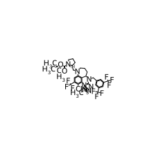 Cc1cc2c(cc1C(F)(F)F)N(C[C@@H]1CCCN1C(=O)OC(C)(C)C)CCCC2N(Cc1cc(C(F)(F)F)cc(C(F)(F)F)c1)c1nnn(C)n1